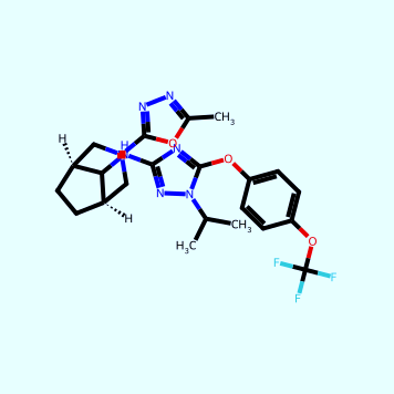 Cc1nnc(N2C[C@H]3CC[C@@H](C2)C3Nc2nc(Oc3ccc(OC(F)(F)F)cc3)n(C(C)C)n2)o1